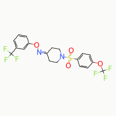 O=S(=O)(c1ccc(OC(F)(F)F)cc1)N1CCC(=NOc2cccc(C(F)(F)F)c2)CC1